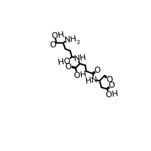 NC(CCC(O)NC(CCC(=O)NC(C=O)CC(=O)O)C(=O)O)C(=O)O